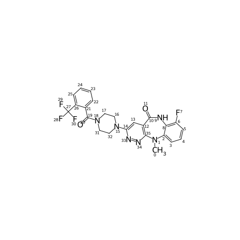 CN1c2cccc(F)c2NC(=O)c2cc(N3CCN(C(=O)c4ccccc4C(F)(F)F)CC3)nnc21